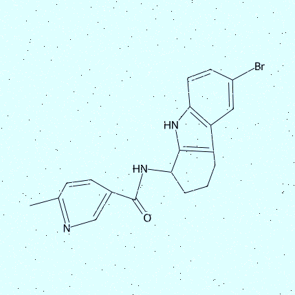 Cc1ccc(C(=O)NC2CCCc3c2[nH]c2ccc(Br)cc32)cn1